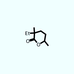 CCC1(C)CCC(C)OC1=O